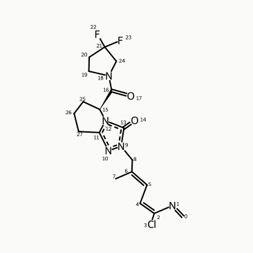 C=N/C(Cl)=C\C=C(/C)Cn1nc2n(c1=O)[C@H](C(=O)N1CCC(F)(F)C1)CCC2